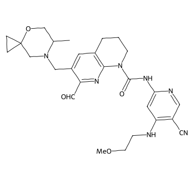 COCCNc1cc(NC(=O)N2CCCc3cc(CN4CC5(CC5)OCC4C)c(C=O)nc32)ncc1C#N